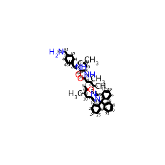 CCC(C)[C@H](CC(=O)[C@@H](C)Cc1cn(C(c2ccccc2)(c2ccccc2)c2ccccc2)cn1)C(=O)N[C@@H](CC(C)C)C(=O)NCc1ccc(CN)cc1